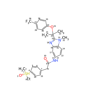 CC[SH](C)(=O)c1ccc(CC(=O)Nc2ccc3c(c2)nc(C(C)(C)Oc2ccc(C(F)(F)F)cc2)n3C)cc1